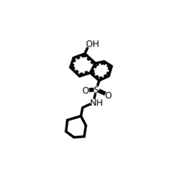 O=S(=O)(NCC1CCCCC1)c1cccc2c(O)cccc12